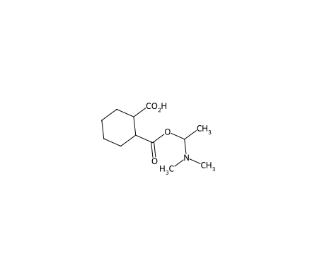 CC(OC(=O)C1CCCCC1C(=O)O)N(C)C